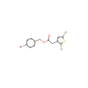 O=C(Cc1cc(Cl)sc1Cl)OCc1ccc(Br)cc1